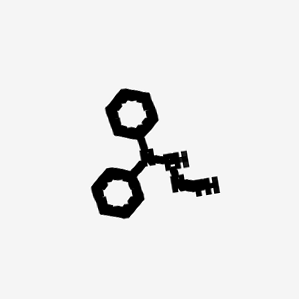 P=NPN(c1ccccc1)c1ccccc1